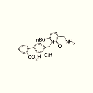 CCCCc1ccc(CN)c(=O)n1Cc1ccc(-c2ccccc2C(=O)O)cc1.Cl